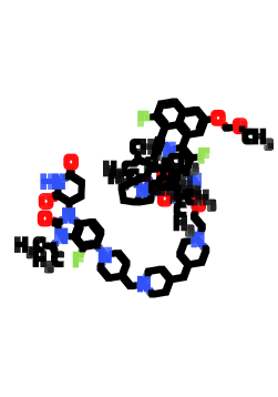 COCOc1cc(-c2ncc3c(N4CC5CCC(C4)N5C(=O)OC(C)(C)C)nc(OCCN4CCC(CC5CCN(CC6CCN(c7ccc8c(c7F)n(C(C)C)c(=O)n8C7CCC(=O)NC7=O)CC6)CC5)CC4)nc3c2F)c2c(C#C[Si](C(C)C)(C(C)C)C(C)C)c(F)ccc2c1